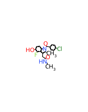 CCNC(=O)Cc1c(C)n(C(=O)c2ccc(Cl)cc2)c2ccc(O)c(F)c12